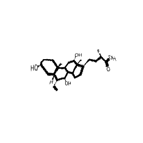 CC[C@H]1[C@@H](O)C2C3CC[C@H](CC[C@@H](F)C(=O)O)[C@@]3(C)[C@@H](O)CC2[C@@]2(C)CC[C@@H](O)C[C@@H]12